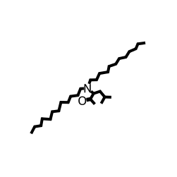 CCCCCCCCCCCCN(CCCCCCCCCCCC)C(CC(C)C)C(C)=O